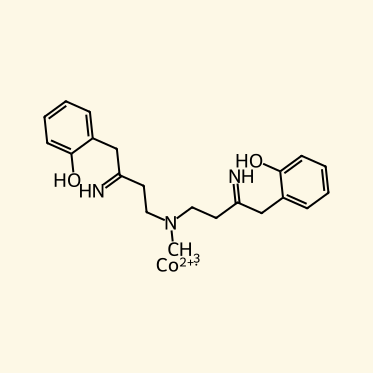 CN(CCC(=N)Cc1ccccc1O)CCC(=N)Cc1ccccc1O.[Co+2]